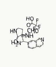 NC(c1ccc2ccncc2c1)[C@@]1(NC=O)CCNC1=O.O=C(O)C(F)(F)F